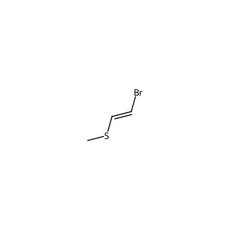 CS/C=C/Br